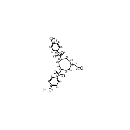 Cc1ccc(S(=O)(=O)C2CCC(S(=O)(=O)c3ccc(C)cc3)CCN(CCO)CC2)cc1